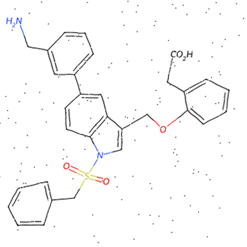 NCc1cccc(-c2ccc3c(c2)c(COc2ccccc2CC(=O)O)cn3S(=O)(=O)Cc2ccccc2)c1